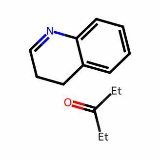 C1=Nc2ccccc2CC1.CCC(=O)CC